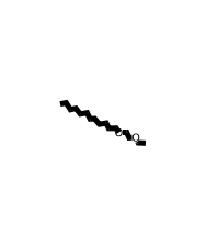 CCCCCCCCCCC[CH]OCCOCC